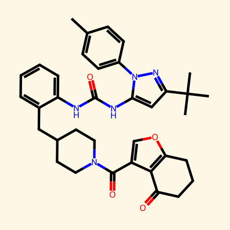 Cc1ccc(-n2nc(C(C)(C)C)cc2NC(=O)Nc2ccccc2CC2CCN(C(=O)c3coc4c3C(=O)CCC4)CC2)cc1